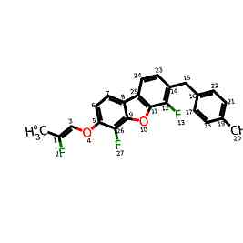 C/C(F)=C/Oc1ccc2c(oc3c(F)c(Cc4ccc(C)cc4)ccc32)c1F